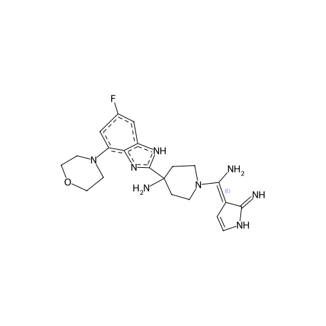 N=C1NC=C/C1=C(/N)N1CCC(N)(c2nc3c(N4CCOCC4)cc(F)cc3[nH]2)CC1